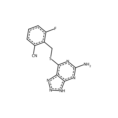 N#Cc1cccc(F)c1CSc1nc(N)nc2[nH]nnc12